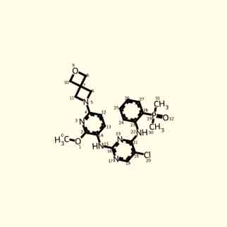 COc1nc(N2CC3(COC3)C2)ccc1Nc1ncc(Cl)c(Nc2ccccc2P(C)(C)=O)n1